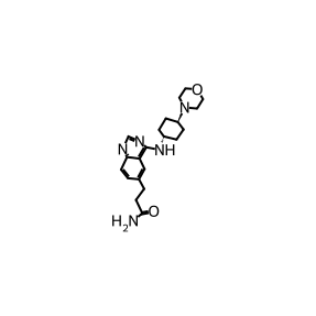 NC(=O)CCc1ccc2ncnc(N[C@H]3CC[C@H](N4CCOCC4)CC3)c2c1